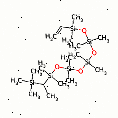 C=C[Si](C)(C)O[Si](C)(C)O[Si](C)(C)O[Si](C)(C)O[Si](C)(C)C(C)[Si](C)(C)C